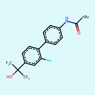 CCCCC(=O)Nc1ccc(-c2ccc(C(O)(C(F)(F)F)C(F)(F)F)cc2F)cc1